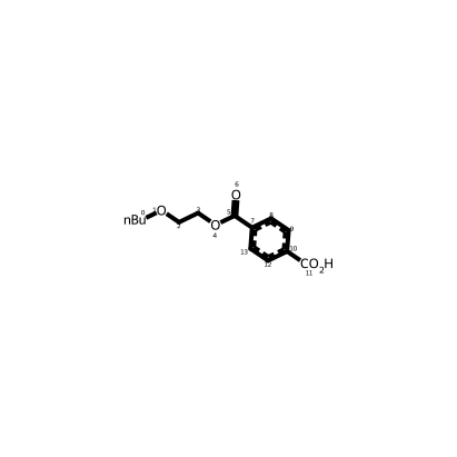 CCCCOCCOC(=O)c1ccc(C(=O)O)cc1